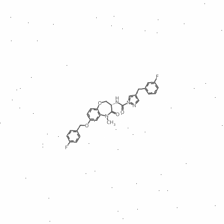 CN1C(=O)[C@@H](NC(=O)n2cc(Cc3cccc(F)c3)cn2)COc2ccc(OCc3ccc(F)cc3)cc21